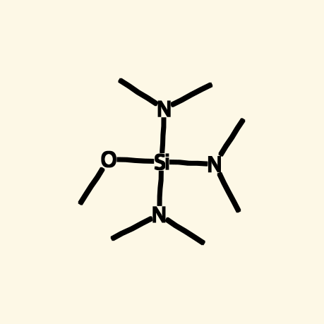 CO[Si](N(C)C)(N(C)C)N(C)C